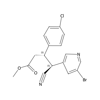 COC(=O)C[C@H](c1ccc(Cl)cc1)[C@H](C#N)c1cncc(Br)c1